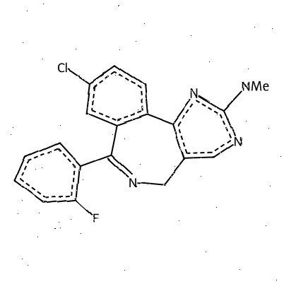 CNc1ncc2c(n1)-c1ccc(Cl)cc1C(c1ccccc1F)=NC2